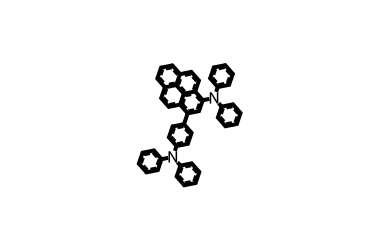 c1ccc(N(c2ccccc2)c2ccc(-c3cc(N(c4ccccc4)c4ccccc4)c4ccc5cccc6ccc3c4c65)cc2)cc1